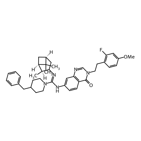 COc1ccc(CCn2cnc3cc(NC(=NC4C[C@@H]5C[C@H]([C@@H]4C)C5(C)C)N4CCC(Cc5ccccc5)CC4)ccc3c2=O)c(F)c1